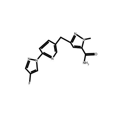 Cn1nc(Cc2ccc(-n3cc(F)cn3)nc2)cc1C(N)=O